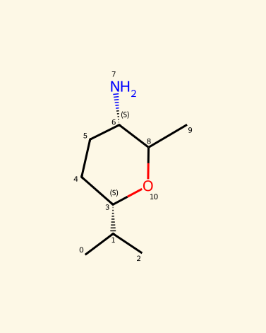 CC(C)[C@@H]1CC[C@H](N)C(C)O1